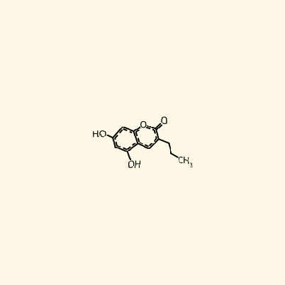 CCCc1cc2c(O)cc(O)cc2oc1=O